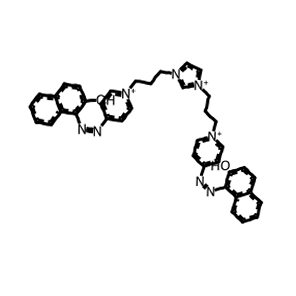 Oc1ccc2ccccc2c1/N=N\c1cc[n+](CCCn2cc[n+](CCC[n+]3ccc(/N=N\c4c(O)ccc5ccccc45)cc3)c2)cc1